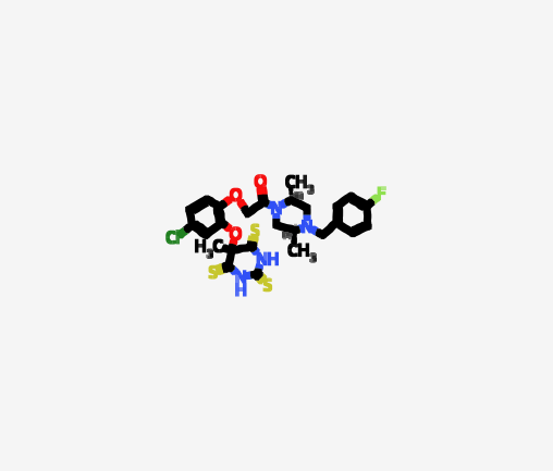 C[C@@H]1CN(Cc2ccc(F)cc2)[C@@H](C)CN1C(=O)COc1ccc(Cl)cc1OC1(C)C(=S)NC(=S)NC1=S